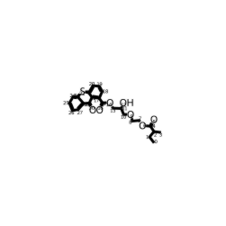 CCC(C)C(=O)OCCOCC(O)COC(=O)c1cccc2sc3ccccc3c(=O)c12